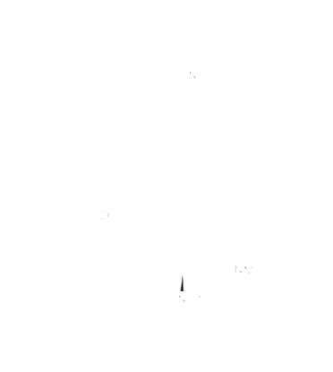 CCC(CC)O[C@@H]1C=C(C(=O)OC(C)O[N+](=O)[O-])C[C@H](NC)[C@H]1NC(C)=O